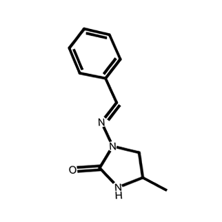 CC1CN(N=Cc2ccccc2)C(=O)N1